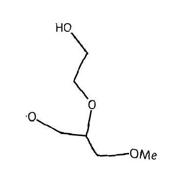 COCC(C[O])OCCO